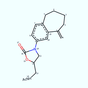 C=C1CCCCc2ccc(N3CC(CNC(C)=O)OC3=O)cc21